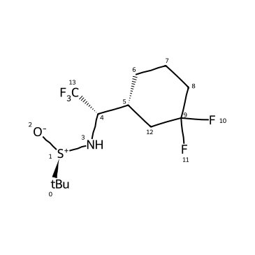 CC(C)(C)[S@@+]([O-])N[C@@H]([C@@H]1CCCC(F)(F)C1)C(F)(F)F